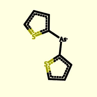 c1csc([As]c2cccs2)c1